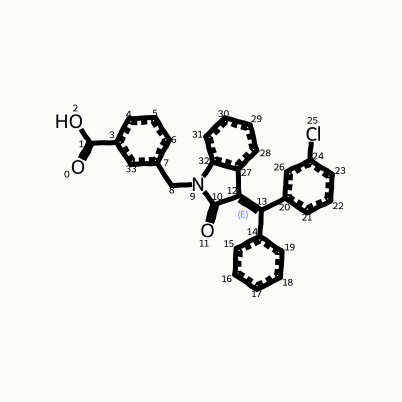 O=C(O)c1cccc(CN2C(=O)/C(=C(\c3ccccc3)c3cccc(Cl)c3)c3ccccc32)c1